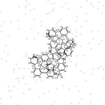 CC(C)(C)c1ccc2c(c1)c1c3c4c5c(c(C#N)cc4n4c6cc(C#N)c7c(c6c(c6c8cc(C(C)(C)C)ccc8n2c16)c34)C1(CC72c3ccccc3-c3ccccc32)c2ccccc2-c2ccccc21)C1(CC52c3ccccc3-c3ccccc32)c2ccccc2-c2ccccc21